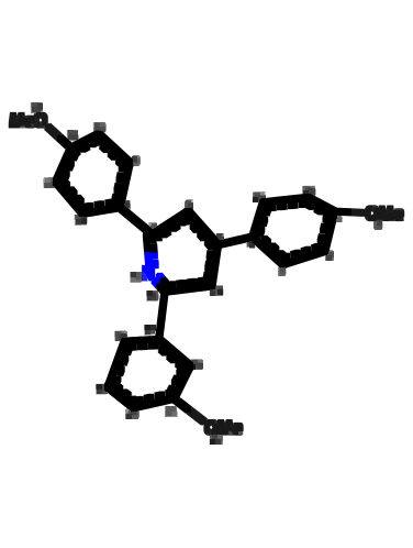 COc1ccc(-c2cc(-c3ccc(OC)cc3)nc(-c3cccc(OC)c3)c2)cc1